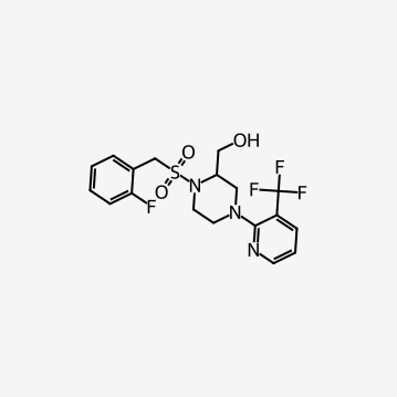 O=S(=O)(Cc1ccccc1F)N1CCN(c2ncccc2C(F)(F)F)CC1CO